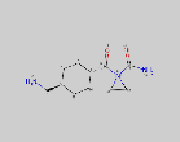 NC[C@H]1CC[C@H](C(=O)[N+]2(C(N)=O)CC2)CC1